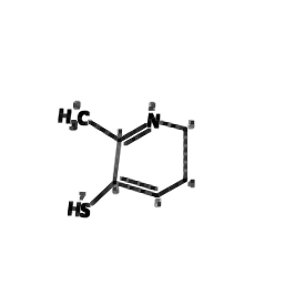 CC1=NCCC=C1S